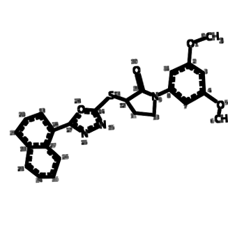 COc1cc(OC)cc(N2CCC(Sc3nnc(-c4cccc5ccccc45)o3)C2=O)c1